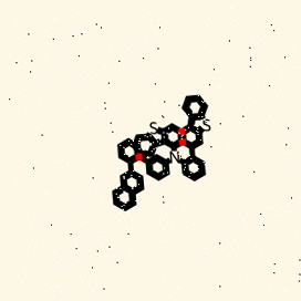 c1cc(-c2ccccc2-c2ccc3ccccc3c2)cc(N(c2ccccc2-c2ccc3c(c2)sc2ccccc23)c2cccc3sc4ccccc4c23)c1